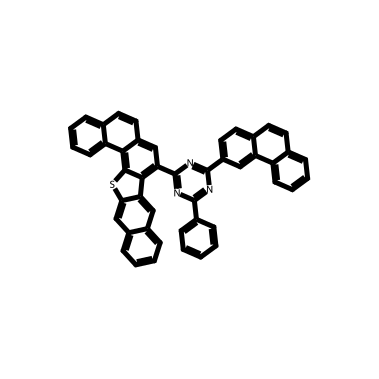 c1ccc(-c2nc(-c3ccc4ccc5ccccc5c4c3)nc(-c3cc4ccc5ccccc5c4c4sc5cc6ccccc6cc5c34)n2)cc1